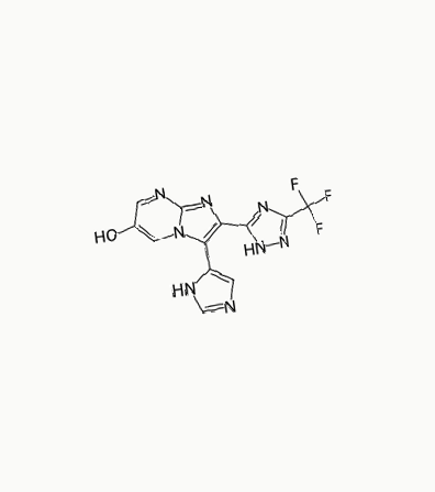 Oc1cnc2nc(-c3nc(C(F)(F)F)n[nH]3)c(-c3cnc[nH]3)n2c1